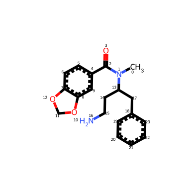 CN(C(=O)c1ccc2c(c1)OCO2)C(CCN)Cc1ccccc1